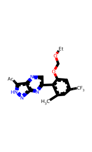 CCOCOc1cc(C(F)(F)F)cc(C)c1-c1cnc2c(C(C)=O)[nH]nc2n1